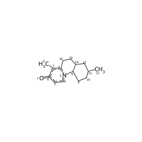 Cc1c2n(ccc1=O)C1CCC(C)CC1CC2